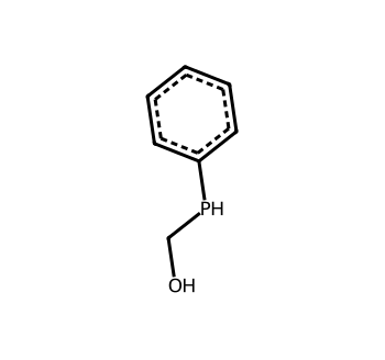 OCPc1ccccc1